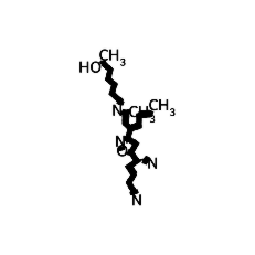 C/C=C/C=C(\C=C(C)\N=C\CCCCC(C)O)C1=NOC([C@H](C#N)/C=C/CC#N)C1